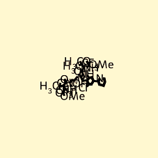 COC(=O)NC(C(=O)NC[C@@H](O)CN(Cc1c(Cl)cc(-c2ccccn2)cc1Cl)NC(=O)[C@@H](NC(=O)OC)C(C)(C)C(F)(F)F)C(C)(C)C(F)(F)F